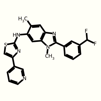 Cc1cc2nc(-c3cccc(C(F)F)c3)n(C)c2cc1Nc1nc(-c2cccnc2)cs1